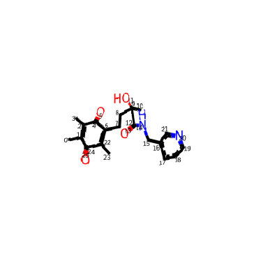 CC1=C(C)C(=O)C(CCC(C)(O)C(=O)NCc2cccnc2)=C(C)C1=O